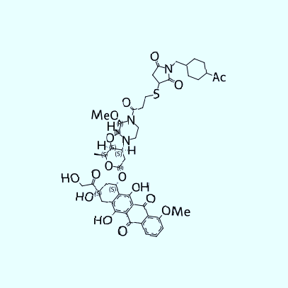 COc1cccc2c1C(=O)c1c(O)c3c(c(O)c1C2=O)C[C@@](O)(C(=O)CO)C[C@@H]3O[C@H]1C[C@H]2[C@H](O[C@@H]3[C@@H](OC)N(C(=O)CCSC4CC(=O)N(CC5CCC(C(C)=O)CC5)C4=O)CCN32)[C@H](C)O1